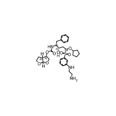 NCCNc1cccc(S(=O)(=O)N(C[C@H](O)[C@H](Cc2ccccc2)NC(=O)O[C@H]2CO[C@H]3OCC[C@@H]32)OC2CCCC2)c1